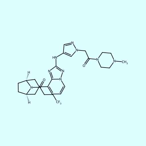 CN1CCN(C(=O)Cn2cc(Nc3nc4c(C5C[C@H]6CC[C@@H](C5)N6C(=O)CCC(F)(F)F)cccn4n3)cn2)CC1